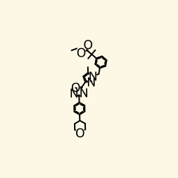 CCOC(=O)C(C)(C)c1cccc(Cn2nc(-c3nc(-c4ccc(C5CCOCC5)cc4)no3)cc2C)c1